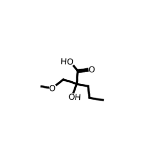 CCCC(O)(COC)C(=O)O